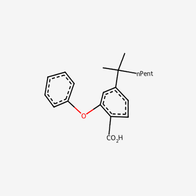 CCCCCC(C)(C)c1ccc(C(=O)O)c(Oc2ccccc2)c1